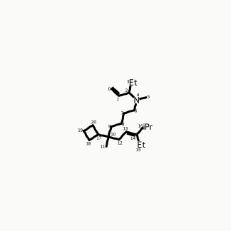 C=CC(CC)N(C)CCCCC(C)(C/C=C(\CC)C(C)C)C1CCC1